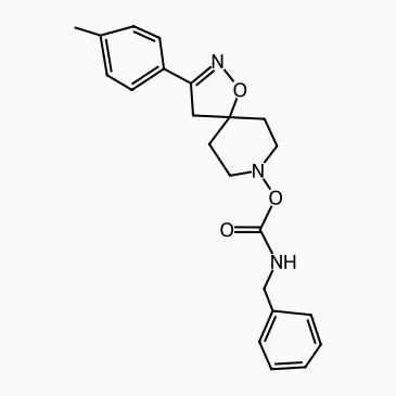 Cc1ccc(C2=NOC3(CCN(OC(=O)NCc4ccccc4)CC3)C2)cc1